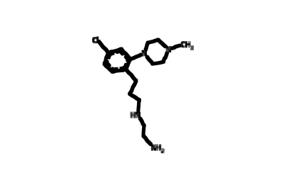 CN1CCN(c2cc(Cl)ccc2CCCNCCN)CC1